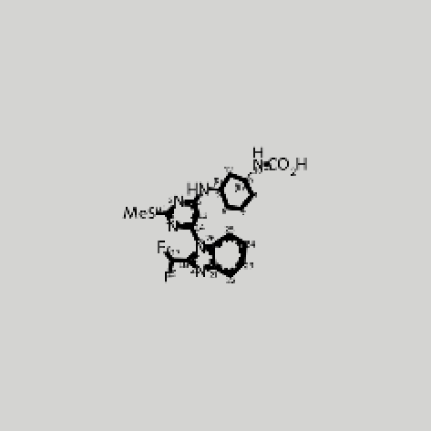 CSc1nc(N[C@@H]2CCC[C@@H](NC(=O)O)C2)cc(-n2c(C(F)F)nc3ccccc32)n1